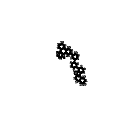 c1cc(-c2cccc(-c3cccc4c3oc3ccc5ccccc5c34)c2)cc(-c2ccc3c4ccccc4c4nccnc4c3c2)c1